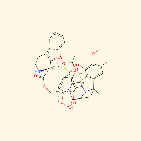 COc1c(C)cc2c(c1O)[C@@H]1C3[C@@H]4SC[C@]5(NCCc6c5oc5ccccc65)C(=O)OC[C@@H](c5c6c(c(C)c(OC(C)=O)c54)OCO6)N3C3(O)CN1C2(C)C3